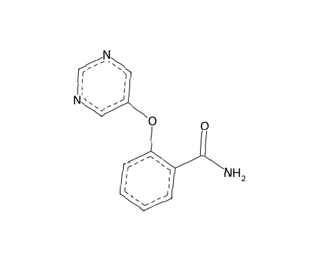 NC(=O)c1ccccc1Oc1cncnc1